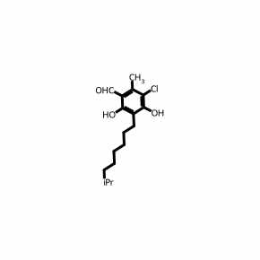 Cc1c(Cl)c(O)c(CCCCCCC(C)C)c(O)c1C=O